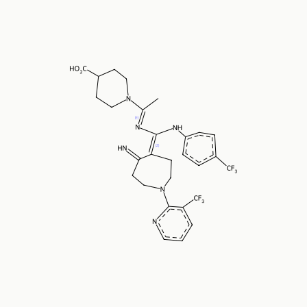 C/C(=N\C(Nc1ccc(C(F)(F)F)cc1)=C1\CCN(c2ncccc2C(F)(F)F)CCC1=N)N1CCC(C(=O)O)CC1